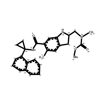 Cc1cc2c(cc1C(=O)NC1(c3cccc4ccccc34)CC1)NC(CN(C)C(=O)OC(C)(C)C)C2